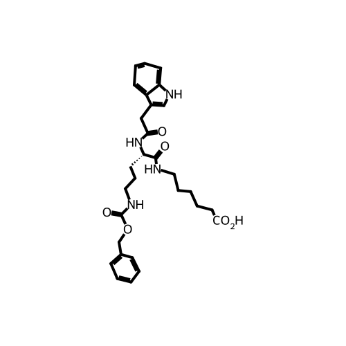 O=C(O)CCCCCNC(=O)[C@H](CCCNC(=O)OCc1ccccc1)NC(=O)Cc1c[nH]c2ccccc12